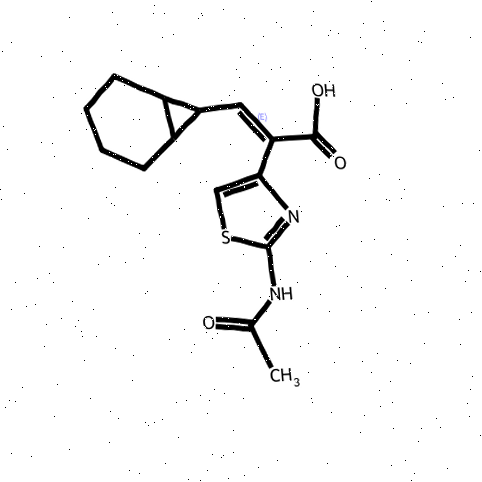 CC(=O)Nc1nc(/C(=C\C2C3CCCCC23)C(=O)O)cs1